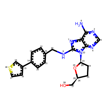 Nc1ncnc2c1nc(NCc1ccc(-c3ccsc3)cc1)n2[C@H]1CC[C@@H](CO)O1